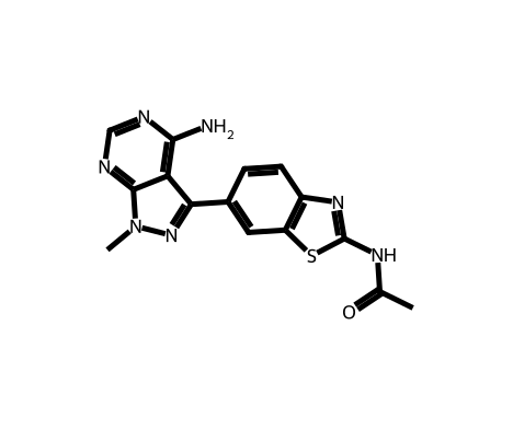 CC(=O)Nc1nc2ccc(-c3nn(C)c4ncnc(N)c34)cc2s1